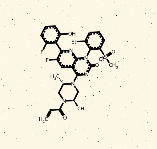 C=CC(=O)N1C[C@H](C)N(c2nc(=O)n(-c3c(CC)cccc3S(C)(=O)=O)c3nc(-c4c(O)cccc4F)c(F)cc23)C[C@H]1C